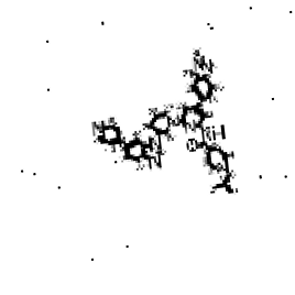 CC(C)CN1CCC(C(=O)Nc2cc(-c3ccc4nn(C)cc4c3)cc(N3CCCC(n4cnc5ccc(-c6ccncc6)cc54)C3)n2)CC1